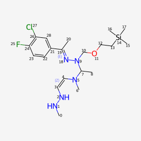 CNN/C=C\N(C)C(C)N(COCC[Si](C)(C)C)/N=C(\C)c1ccc(F)c(Cl)c1